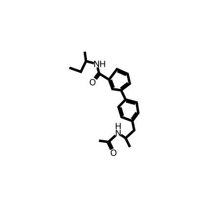 CCC(C)NC(=O)c1cccc(-c2ccc(CC(C)NC(C)=O)cc2)c1